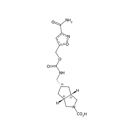 NC(=O)c1cc(COC(=O)NC[C@@H]2C[C@@H]3CN(C(=O)O)C[C@@H]3C2)on1